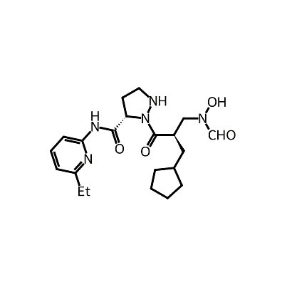 CCc1cccc(NC(=O)[C@@H]2CCNN2C(=O)[C@H](CC2CCCC2)CN(O)C=O)n1